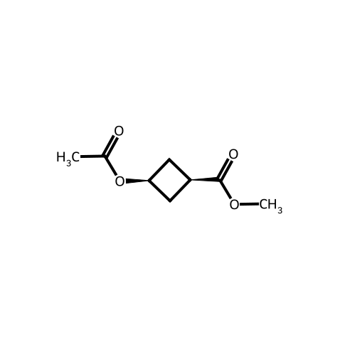 COC(=O)[C@H]1C[C@@H](OC(C)=O)C1